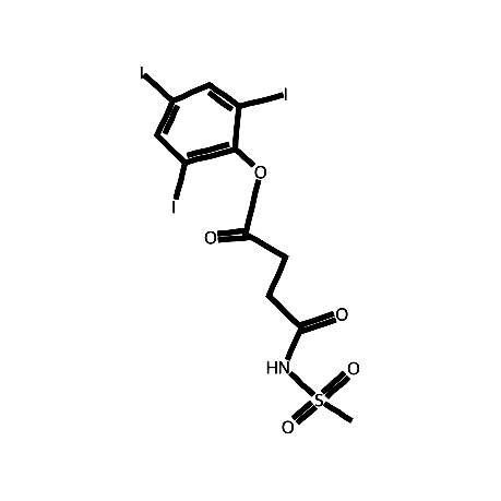 CS(=O)(=O)NC(=O)CCC(=O)Oc1c(I)cc(I)cc1I